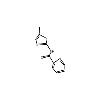 Cc1nnc(NC(=O)c2ccccn2)s1